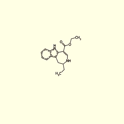 CCOC(=O)C1=CNC(CC)Cc2c1[nH]c1ccccc21